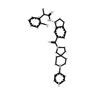 CC(C(=O)N[C@@H]1CCc2ccc(C(=O)N3CCC4(CCN(c5ccncc5)CC4)C3)cc21)c1ccccc1Cl